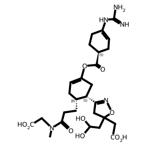 CN(CC(=O)O)C(=O)CC[C@@H]1CC=C(OC(=O)[C@@H]2CC=C(NC(=N)N)CC2)C[C@@H]1C1=NOC(CC(=O)O)(CC(O)O)C1